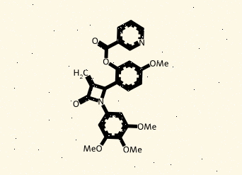 C=C1C(=O)N(c2cc(OC)c(OC)c(OC)c2)C1c1ccc(OC)cc1OC(=O)c1cccnc1